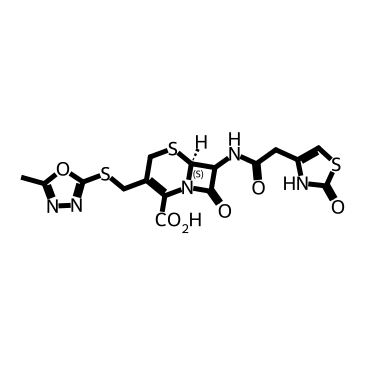 Cc1nnc(SCC2=C(C(=O)O)N3C(=O)C(NC(=O)Cc4csc(=O)[nH]4)[C@@H]3SC2)o1